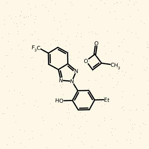 CC1=COC1=O.CCc1ccc(O)c(-n2nc3ccc(C(F)(F)F)cc3n2)c1